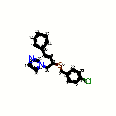 Clc1ccc(CSC(/C=C/c2ccccc2)Cn2ccnc2)cc1